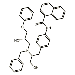 O=C(Nc1ccc(C[C@@H](CO)N(Cc2ccccc2)C[C@H](O)COc2ccccc2)cc1)c1cccc2ccccc12